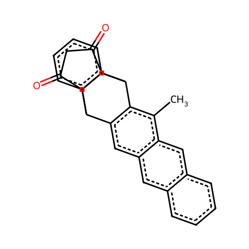 Cc1c2c(cc3cc4ccccc4cc13)C1c3ccccc3C2C2C(=O)CC(=O)C12